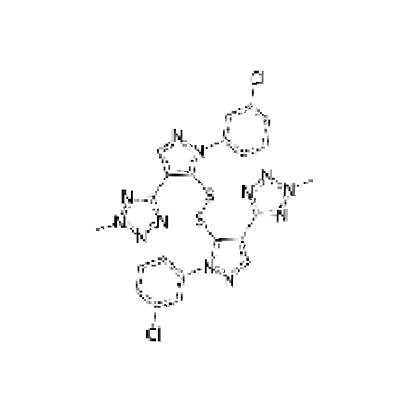 Cn1nnc(-c2cnn(-c3cccc(Cl)c3)c2SSc2c(-c3nnn(C)n3)cnn2-c2cccc(Cl)c2)n1